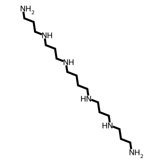 NCCCNCCCNCCCCNCCCNCCCN